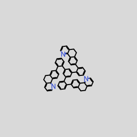 c1cnc2c(c1)CCc1cc(-c3ccccc3-c3cc(-c4ccccc4-c4ccc5c(c4)CCc4cccnc4-5)cc(-c4ccccc4-c4ccc5c(c4)CCc4cccnc4-5)c3)ccc1-2